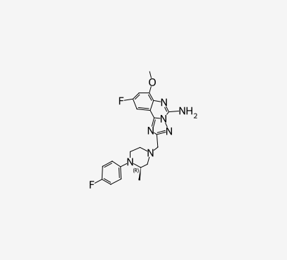 COc1cc(F)cc2c1nc(N)n1nc(CN3CCN(c4ccc(F)cc4)[C@H](C)C3)nc21